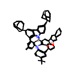 Cc1cc2c3c(c1)N(c1ccc(C(C)(C)C)cc1-c1ccccc1)c1cc4oc5cc6ccccc6cc5c4cc1B3n1c3ccc(C45CC6CC(CC(C6)C4)C5)cc3c3cc(C45CC6CC(CC(C6)C4)C5)cc-2c31